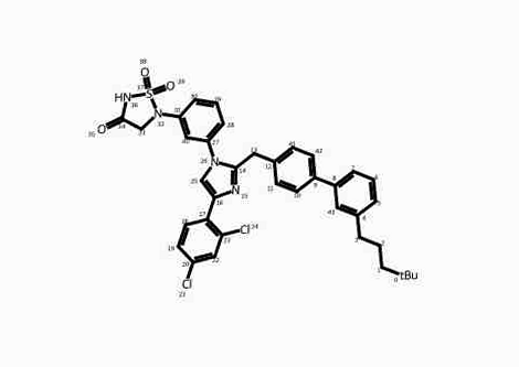 CC(C)(C)CCCc1cccc(-c2ccc(Cc3nc(-c4ccc(Cl)cc4Cl)cn3-c3cccc(N4CC(=O)NS4(=O)=O)c3)cc2)c1